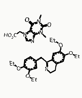 CCOc1ccc(CC2=NCCc3cc(OCC)c(OCC)cc32)cc1OCC.Cn1c(=O)c2c(ncn2CC(=O)O)n(C)c1=O